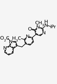 Cc1nc(-c2cnc(NC(C)C)n(C)c2=O)ccc1Cc1cn(C(=O)O)c2ncccc12